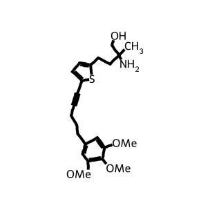 COc1cc(CCCC#Cc2ccc(CCC(C)(N)CO)s2)cc(OC)c1OC